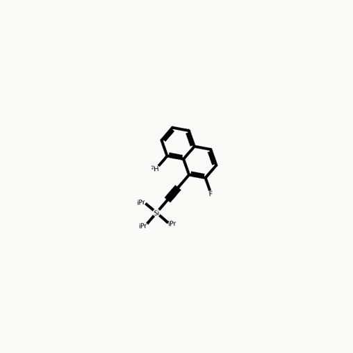 [2H]c1cccc2ccc(F)c(C#C[Si](C(C)C)(C(C)C)C(C)C)c12